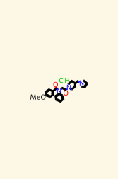 COc1ccc(C(=O)N(CC(=O)N2CCC(CN3CC=CC3)CC2)c2ccccc2)cc1.Cl